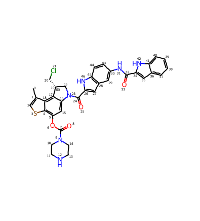 Cc1csc2c(OC(=O)N3CCNCC3)cc3c(c12)[C@H](CCl)CN3C(=O)c1cc2cc(NC(=O)c3cc4ccccc4[nH]3)ccc2[nH]1